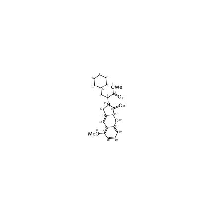 COC(=O)C(CC1CCCCC1)N1CC2=Cc3c(OC)cccc3OC2C1=O